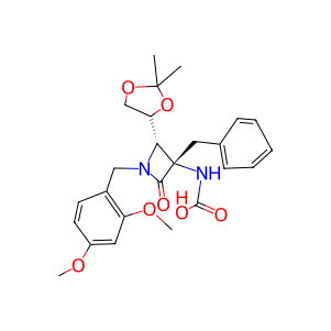 COc1ccc(CN2C(=O)[C@@](Cc3ccccc3)(NC(=O)O)[C@H]2C2COC(C)(C)O2)c(OC)c1